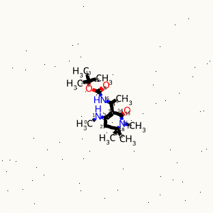 CNC1=C(C(C)NC(=O)OC(C)(C)C)C(=O)N(C)C(C)(C)C1